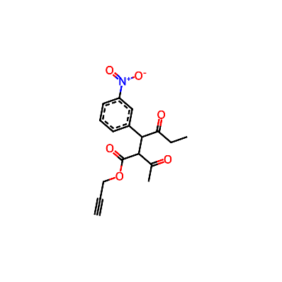 C#CCOC(=O)C(C(C)=O)C(C(=O)CC)c1cccc([N+](=O)[O-])c1